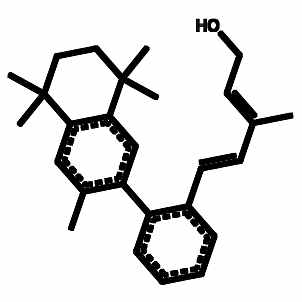 CC(C=Cc1ccccc1-c1cc2c(cc1C)C(C)(C)CCC2(C)C)=CCO